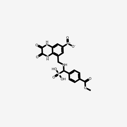 COC(=O)c1ccc(C(NCc2cc([N+](=O)[O-])cc3[nH]c(=O)c(=O)[nH]c23)P(=O)(O)O)cc1